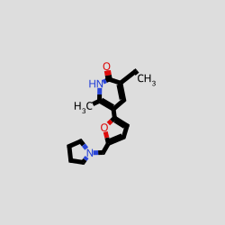 CCc1cc(-c2ccc(CN3CCCC3)o2)c(C)[nH]c1=O